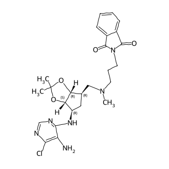 CN(CCCN1C(=O)c2ccccc2C1=O)C[C@H]1C[C@@H](Nc2ncnc(Cl)c2N)[C@@H]2OC(C)(C)O[C@H]12